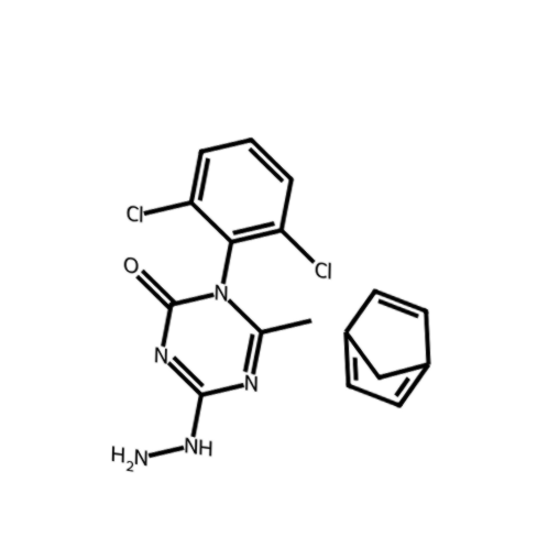 C1=CC2=CC=C1C2.Cc1nc(NN)nc(=O)n1-c1c(Cl)cccc1Cl